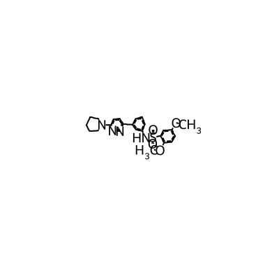 COc1ccc(OC)c(S(=O)(=O)Nc2cccc(-c3ccc(N4CCCCC4)nn3)c2)c1